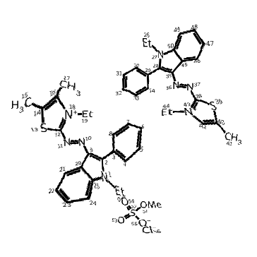 CCn1c(-c2ccccc2)c(N=Nc2sc(C)c(C)[n+]2CC)c2ccccc21.CCn1c(-c2ccccc2)c(N=Nc2sc(C)c[n+]2CC)c2ccccc21.COS(=O)(=O)[O-].[Cl-]